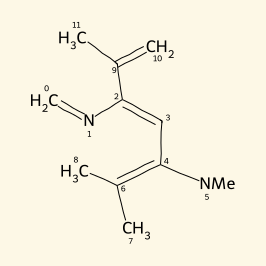 C=N/C(=C\C(NC)=C(C)C)C(=C)C